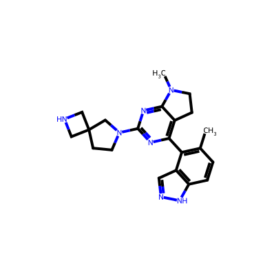 Cc1ccc2[nH]ncc2c1-c1nc(N2CCC3(CNC3)C2)nc2c1CCN2C